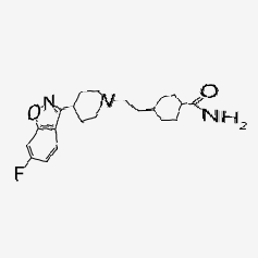 NC(=O)C1CCC(CCN2CCC(c3noc4cc(F)ccc34)CC2)CC1